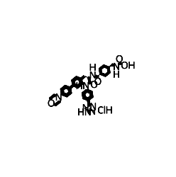 Cl.O=C(O)NC[C@H]1CC[C@H](C(=O)N[C@@H](Cc2ccc(-c3ccc(N4CCOCC4)cc3)cc2)C(=O)Nc2ccc(-c3nn[nH]n3)cc2)CC1